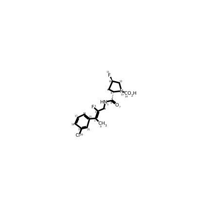 CC(=C(F)CNC(=O)[C@@H]1C[C@@H](F)CN1C(=O)O)c1cccc(Cl)c1